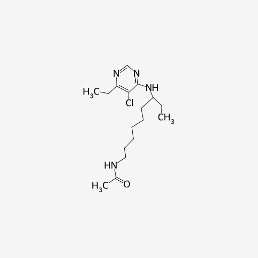 CCc1ncnc(NC(CC)CCCCCCNC(C)=O)c1Cl